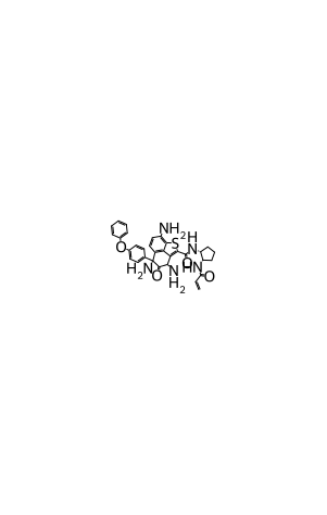 C=CC(=O)N[C@H]1CCC[C@H]1NC(=O)c1sc2c(N)ccc3c2c1C(N)C(=O)C3(N)c1ccc(Oc2ccccc2)cc1